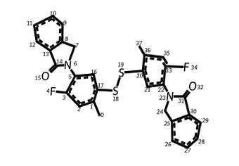 Cc1cc(F)c(N2Cc3ccccc3C2=O)cc1SSc1cc(N2Cc3ccccc3C2=O)c(F)cc1C